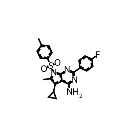 Cc1ccc(S(=O)(=O)n2c(C)c(C3CC3)c3c(N)nc(-c4ccc(F)cc4)nc32)cc1